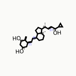 C=C1/C(=C\C=C2/CCC[C@@]3(C)C2CCC3[C@H](C)/C=C/[C@@H](O)C2CC2)C[C@@H](O)C[C@@H]1O